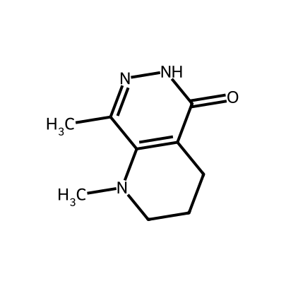 Cc1n[nH]c(=O)c2c1N(C)CCC2